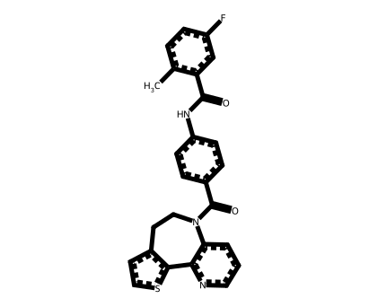 Cc1ccc(F)cc1C(=O)Nc1ccc(C(=O)N2CCc3ccsc3-c3ncccc32)cc1